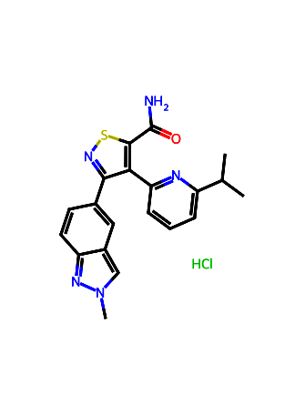 CC(C)c1cccc(-c2c(-c3ccc4nn(C)cc4c3)nsc2C(N)=O)n1.Cl